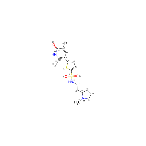 CCc1cc(-c2ccc(S(=O)(=O)NCCC3CCCN3C)s2)c(C)[nH]c1=O